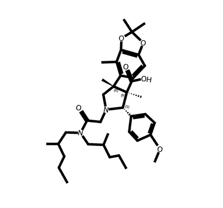 CCCC(C)CN(CC(C)CCC)C(=O)CN1C[C@](C)(c2ccc3c(c2C)OC(C)(C)O3)[C@@](C)(C(=O)O)[C@@H]1c1ccc(OC)cc1